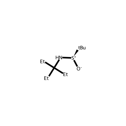 CCC(CC)(CC)N[S@+]([O-])C(C)(C)C